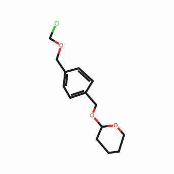 ClCOCc1ccc(COC2CCCCO2)cc1